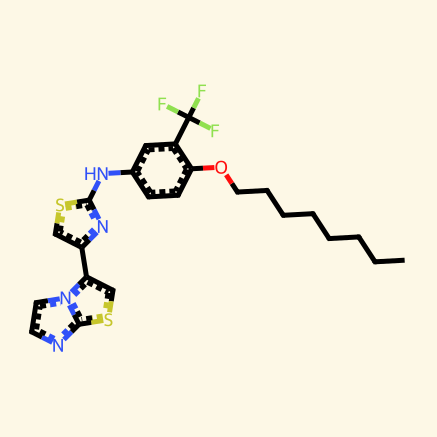 CCCCCCCCOc1ccc(Nc2nc(-c3csc4nccn34)cs2)cc1C(F)(F)F